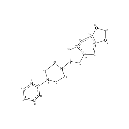 c1cnc(N2CCN(C3Cc4cc5c(cc4C3)OCO5)CC2)cn1